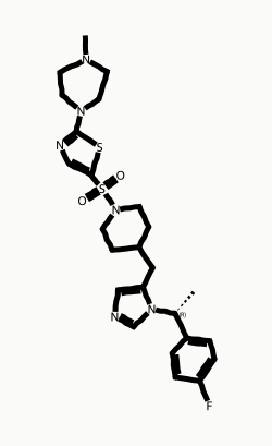 C[C@H](c1ccc(F)cc1)n1cncc1CC1CCN(S(=O)(=O)c2cnc(N3CCN(C)CC3)s2)CC1